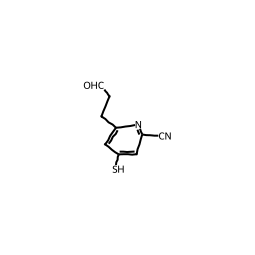 N#Cc1cc(S)cc(CCC=O)n1